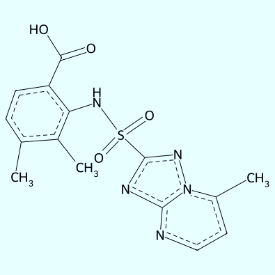 Cc1ccc(C(=O)O)c(NS(=O)(=O)c2nc3nccc(C)n3n2)c1C